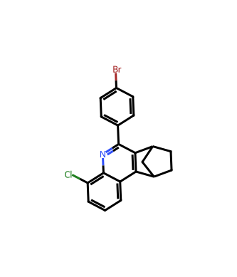 Clc1cccc2c3c(c(-c4ccc(Br)cc4)nc12)C1CCC3C1